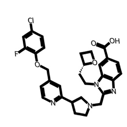 O=C(O)c1ccc2nc(CN3CCC(c4cc(COc5ccc(Cl)cc5F)ccn4)C3)n(CC[C@@H]3CCO3)c2c1